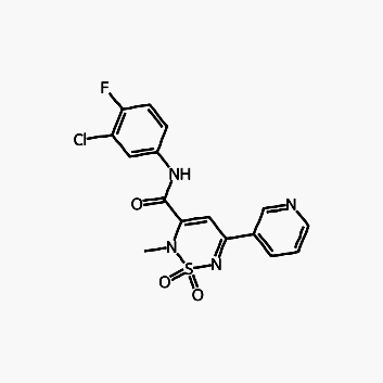 CN1C(C(=O)Nc2ccc(F)c(Cl)c2)=CC(c2cccnc2)=NS1(=O)=O